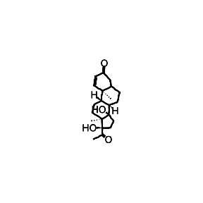 CC(=O)[C@@]1(O)CC[C@@]2(O)[C@@H]3CCC4CC(=O)C=C[C@]4(C)[C@H]3CC[C@@]21C